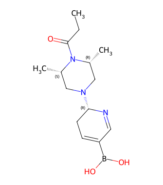 CCC(=O)N1[C@H](C)CN([C@H]2CC=C(B(O)O)C=N2)C[C@@H]1C